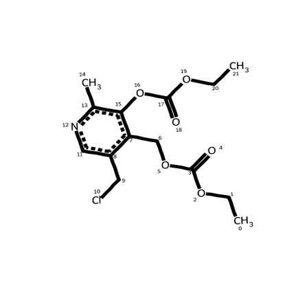 CCOC(=O)OCc1c(CCl)cnc(C)c1OC(=O)OCC